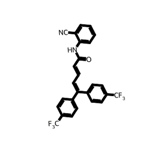 N#Cc1ccccc1NC(=O)C=CC=C(c1ccc(C(F)(F)F)cc1)c1ccc(C(F)(F)F)cc1